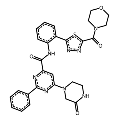 O=C1CN(c2cc(C(=O)Nc3ccccc3-c3nnc(C(=O)N4CCOCC4)s3)nc(-c3ccccc3)n2)CCN1